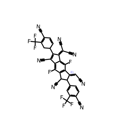 N#C/C=C1/c2c(F)c3c(c(F)c2C(C#N)C1c1ccc(C#N)c(C(F)(F)F)c1)C(C#N)=C(C1C=CC(C#N)=C(C(F)(F)F)C1)C3=C(C#N)C#N